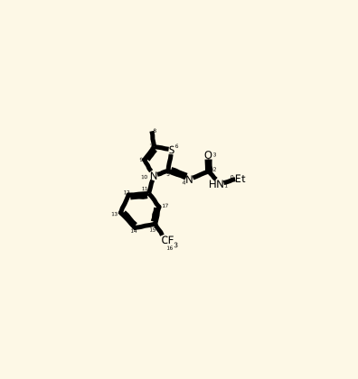 CCNC(=O)N=c1sc(C)cn1-c1cccc(C(F)(F)F)c1